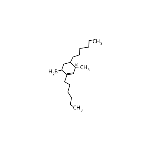 BC1CC(CCCCCC)[C@H](C)C=C1CCCCCC